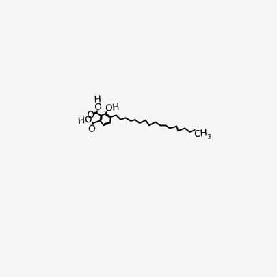 CCCCCCCCCCCCCCCCCCc1ccc(C(=O)O)c(C(=O)O)c1O